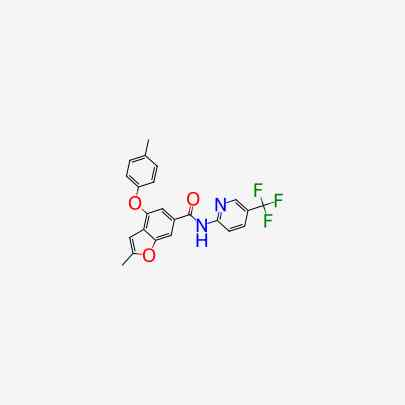 Cc1ccc(Oc2cc(C(=O)Nc3ccc(C(F)(F)F)cn3)cc3oc(C)cc23)cc1